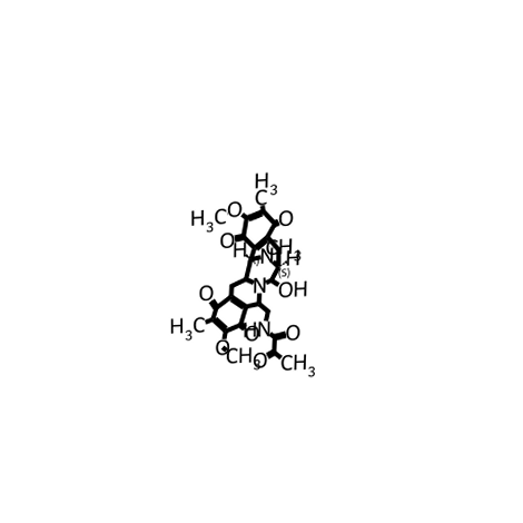 COC1=C(C)C(=O)C2=C(C1=O)C(CNC(=O)C(C)=O)N1C(C2)[C@H]2C3=C(C[C@@H](C1O)N2C)C(=O)C(C)=C(OC)C3=O